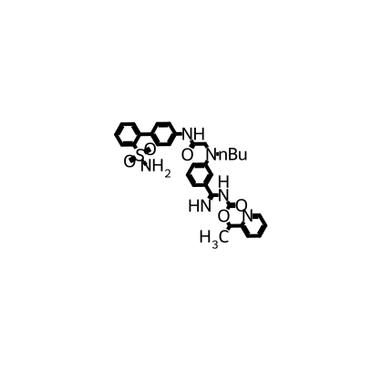 CCCCN(CC(=O)Nc1ccc(-c2ccccc2S(N)(=O)=O)cc1)c1cccc(C(=N)NC(=O)OC(C)c2ccccn2)c1